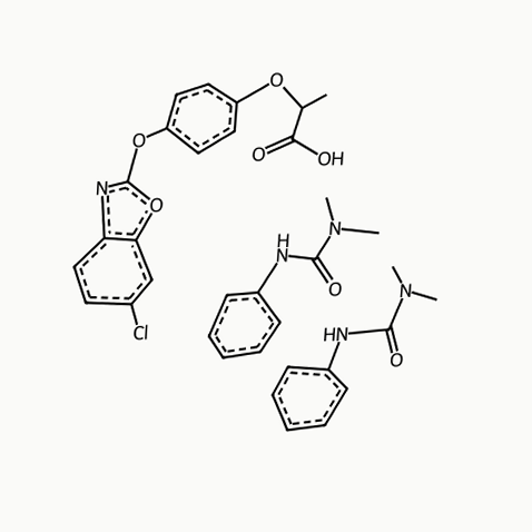 CC(Oc1ccc(Oc2nc3ccc(Cl)cc3o2)cc1)C(=O)O.CN(C)C(=O)Nc1ccccc1.CN(C)C(=O)Nc1ccccc1